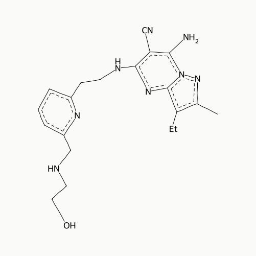 CCc1c(C)nn2c(N)c(C#N)c(NCCc3cccc(CNCCO)n3)nc12